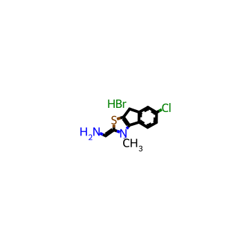 Br.CN1C(=CN)SC2=C1c1ccc(Cl)cc1C2